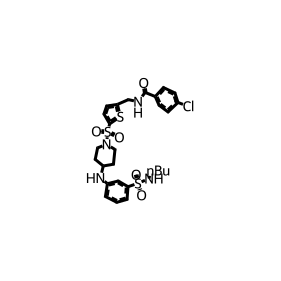 CCCCNS(=O)(=O)c1cccc(NC2CCN(S(=O)(=O)c3ccc(CNC(=O)c4ccc(Cl)cc4)s3)CC2)c1